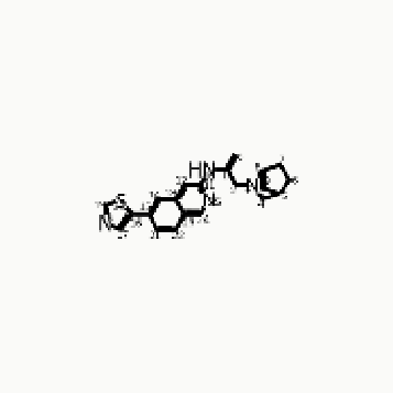 C=C(CN1CC2CCC1C2)Nc1cc2cc(-c3cncs3)ccc2cn1